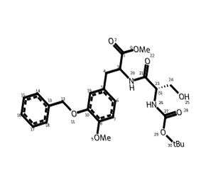 COC(=O)C(Cc1ccc(OC)c(OCc2ccccc2)c1)NC(=O)[C@H](CO)NC(=O)OC(C)(C)C